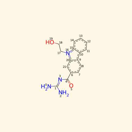 NC(N)=NC(=O)c1ccc2c3ccccc3n(CCO)c2c1